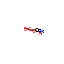 COCCOCCOc1ccc2c(c1)C(=O)N(C(C)C)C2